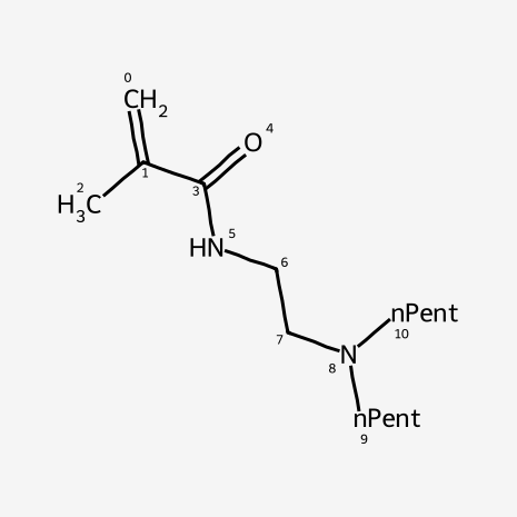 C=C(C)C(=O)NCCN(CCCCC)CCCCC